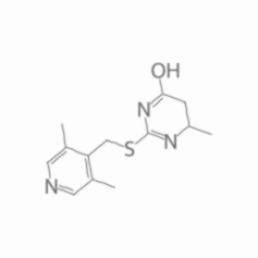 Cc1cncc(C)c1CSC1=NC(C)CC(O)=N1